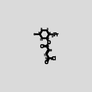 CC1CCC(C(C)C)C(OC(=O)/C=C/C(=O)Cl)C1